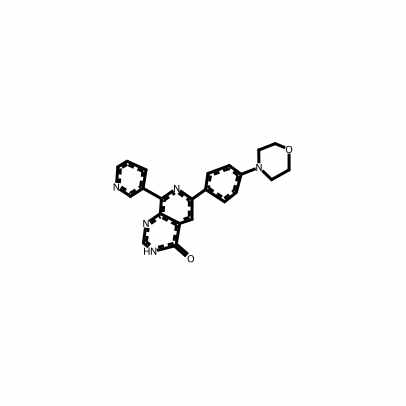 O=c1[nH]cnc2c(-c3cccnc3)nc(-c3ccc(N4CCOCC4)cc3)cc12